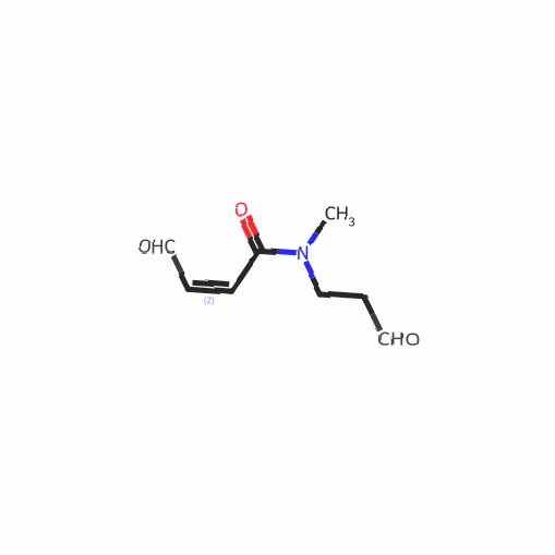 CN(CCC=O)C(=O)/C=C\C=O